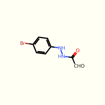 O=CC(=O)NNc1ccc(Br)cc1